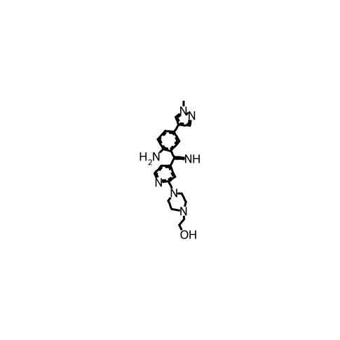 Cn1cc(-c2ccc(N)c(C(=N)c3ccnc(N4CCN(CCO)CC4)c3)c2)cn1